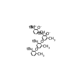 Cc1cccc(C(C)(C)C)c1[O-].Cc1cccc(C(C)(C)C)c1[O-].Cc1cccc(C(C)(C)C)c1[O-].Cc1cccc(C(C)(C)C)c1[O-].[Ti+4]